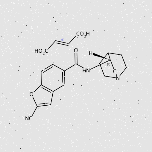 N#Cc1cc2cc(C(=O)N[C@H]3CN4CCC3CC4)ccc2o1.O=C(O)/C=C/C(=O)O